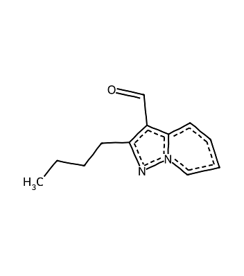 CCCCc1nn2ccccc2c1C=O